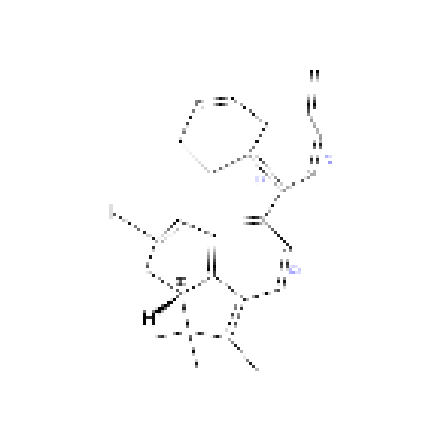 C=C/C=C\C(C(=C)/C=C\C1=C(C)C(C)(C)[C@@H]2CC(I)=CC=C12)=C1/CC=CCC1